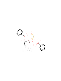 CO[C@H]1C[C@@H](OC(=O)c2ccccc2)[C@@H](OS(=O)(=O)C(F)(F)F)[C@@H](COC(=O)c2ccccc2)O1